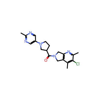 Cc1ncc(N2CCC(C(=O)N3Cc4nc(C)c(Cl)c(C)c4C3)C2)cn1